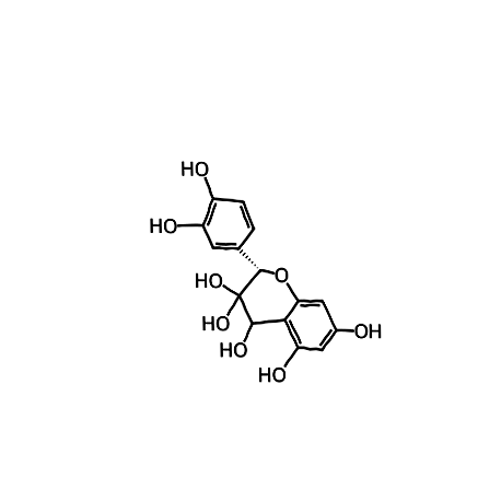 Oc1cc(O)c2c(c1)O[C@@H](c1ccc(O)c(O)c1)C(O)(O)C2O